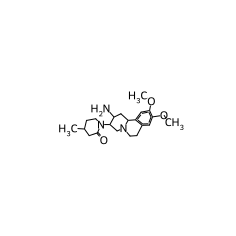 COc1cc2c(cc1OC)C1CC(N)C(N3CCC(C)CC3=O)CN1CC2